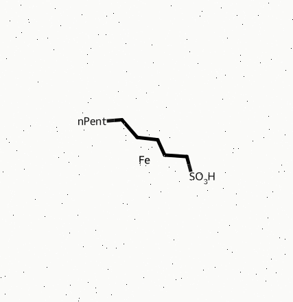 CCCCCCCCCCS(=O)(=O)O.[Fe]